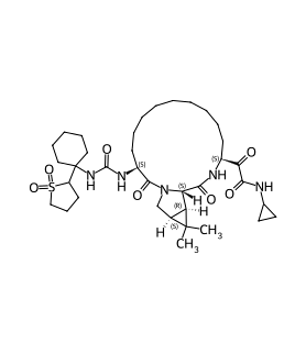 CC1(C)[C@@H]2[C@H]3C(=O)N[C@H](C(=O)C(=O)NC4CC4)CCCCCCCCC[C@H](NC(=O)NC4(C5CCCS5(=O)=O)CCCCC4)C(=O)N3C[C@@H]21